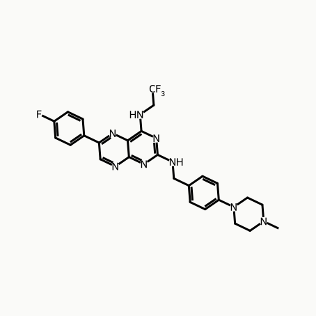 CN1CCN(c2ccc(CNc3nc(NCC(F)(F)F)c4nc(-c5ccc(F)cc5)cnc4n3)cc2)CC1